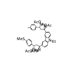 CCn1c2ccc(/C(CC(c3ccc(C)cc3)N(OC(C)=O)C(C)=O)=N/OC(C)=O)cc2c2cc(/C(CC(c3ccc(SC)cc3)N(OC(C)=O)C(C)=O)=N/OC(C)=O)ccc21